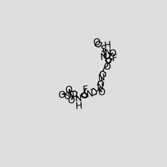 O=CON1C(=O)CCC(Nc2ccc(N3CCC(C(=O)N4CCC(N5CCC(COc6cc(F)c7c(=O)[nH]c(CSC8CCOCC8)nc7c6)CC5)CC4)CC3)c(F)c2)C1=O